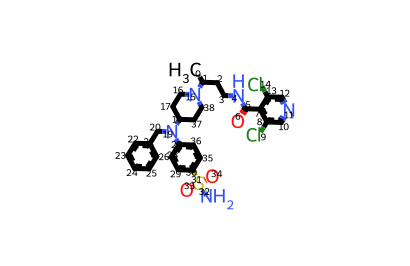 CC(CCNC(=O)c1c(Cl)cncc1Cl)N1CCC(N(Cc2ccccc2)c2ccc(S(N)(=O)=O)cc2)CC1